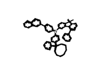 CC1(C)c2ccc(N(c3ccc(-c4ccc5ccccc5c4)cc3)c3ccc(C4(c5ccccc5)CCCCCCC4)cc3)cc2-c2c(-c3ccccc3)cccc21